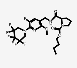 CCCCOC(=O)N1CCCC1C(=O)NCc1cc(F)c(N2CC(F)(F)C(F)(F)C(F)(F)C2)nc1OC